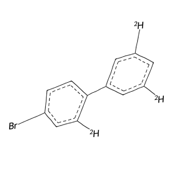 [2H]c1cc([2H])cc(-c2ccc(Br)cc2[2H])c1